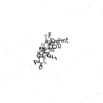 CCCCCC(=O)O[C@]1(C(=O)CF)[C@H](C)C[C@H]2[C@@H]3CCC4=C(F)C(=O)C=C[C@]4(C)[C@@]3(F)[C@@H](O)C[C@@]21C